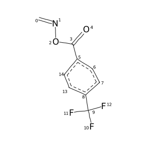 C=NOC(=O)c1ccc(C(F)(F)F)cc1